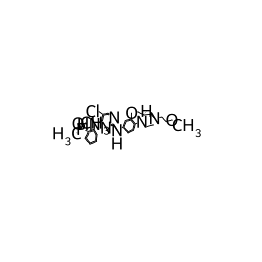 COCCN1CCN2c3ccc(Nc4ncc(Cl)c(Nc5ccccc5P(C)(C)=O)n4)cc3OC[C@H]2C1